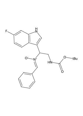 CC(C)(C)OC(=O)NCC(c1c[nH]c2cc(F)ccc12)[N+]([O-])=Cc1ccccc1